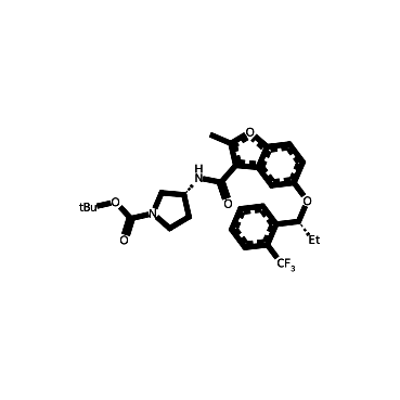 CC[C@@H](Oc1ccc2oc(C)c(C(=O)N[C@@H]3CCN(C(=O)OC(C)(C)C)C3)c2c1)c1ccccc1C(F)(F)F